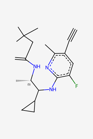 C#Cc1cc(F)c(NC(C2CC2)[C@H](C)NC(=C)CC(C)(C)C)nc1C